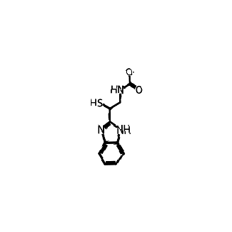 [O]C(=O)NCC(S)c1nc2ccccc2[nH]1